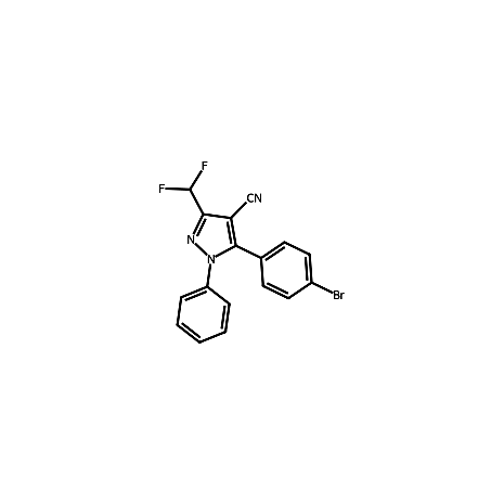 N#Cc1c(C(F)F)nn(-c2ccccc2)c1-c1ccc(Br)cc1